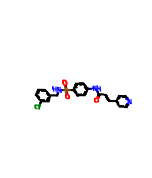 O=C(/C=C/c1ccncc1)Nc1ccc(S(=O)(=O)NCc2cccc(Cl)c2)cc1